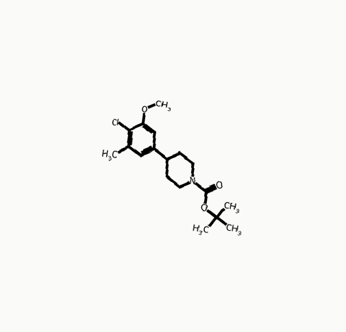 COc1cc(C2CCN(C(=O)OC(C)(C)C)CC2)cc(C)c1Cl